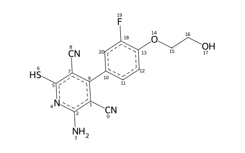 N#Cc1c(N)nc(S)c(C#N)c1-c1ccc(OCCO)c(F)c1